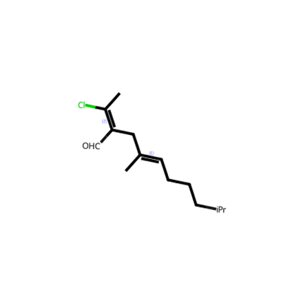 C/C(Cl)=C(/C=O)C/C(C)=C/CCCC(C)C